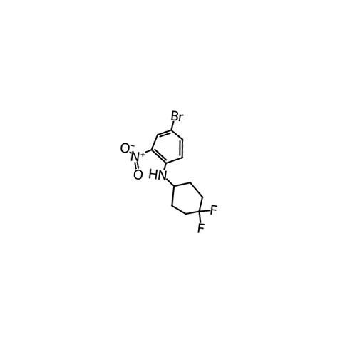 O=[N+]([O-])c1cc(Br)ccc1NC1CCC(F)(F)CC1